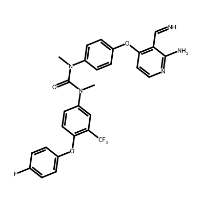 CN(C(=O)N(C)c1ccc(Oc2ccc(F)cc2)c(C(F)(F)F)c1)c1ccc(Oc2ccnc(N)c2C=N)cc1